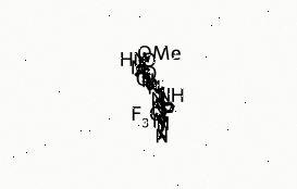 COC(=O)Nc1nc(C)c(S(=O)(=O)N2CCN(CC(C)Nc3ncnc4c(-c5cn(CCN(C)C)nc5C(F)(F)F)cccc34)CC2)s1